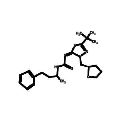 CC(CCc1ccccc1)NC(=O)N=c1sc(C(C)(C)C)nn1C[C@H]1CCCO1